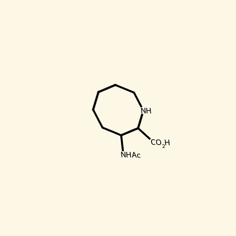 CC(=O)NC1CCCCCNC1C(=O)O